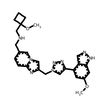 COc1cc(-c2cn(Cc3cn4cc(CNCC5(OC)CCC5)ccc4n3)nn2)c2cn[nH]c2c1